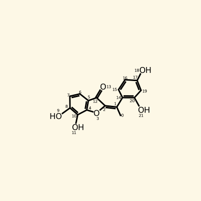 CC(=C1Oc2c(ccc(O)c2O)C1=O)c1ccc(O)cc1O